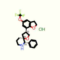 Cl.FC(F)(F)Oc1cc2c(c([C@H]3CO[C@]4(CCCN[C@H]4c4ccccc4)C3)c1)OCC2